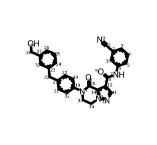 N#Cc1cccc(NC(=O)c2cnn3c2C(=O)N(c2ccc(Cc4cccc(CO)c4)cc2)CC3)c1